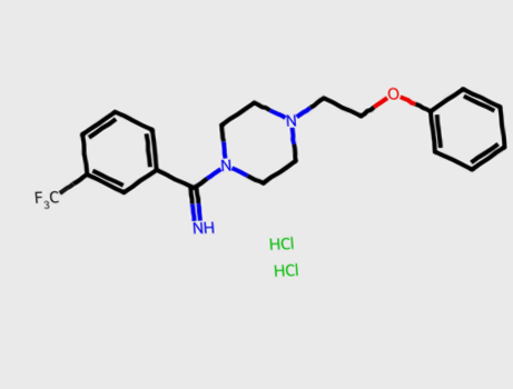 Cl.Cl.N=C(c1cccc(C(F)(F)F)c1)N1CCN(CCOc2ccccc2)CC1